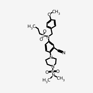 CCCS(=O)(=O)N(Cc1ccc(OC)cc1)c1ccc(N2CCN(S(=O)(=O)N(C)C)CC2)c(C#N)c1